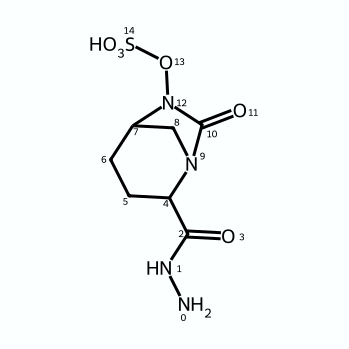 NNC(=O)C1CCC2CN1C(=O)N2OS(=O)(=O)O